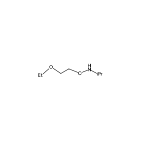 CCOCCONC(C)C